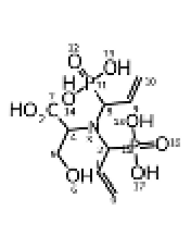 C=CC(N(C(CO)C(=O)O)C(C=C)P(=O)(O)O)P(=O)(O)O